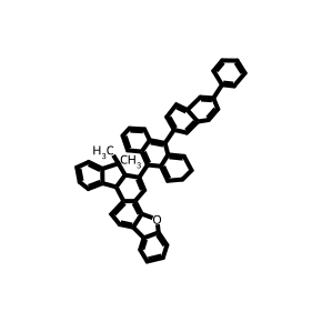 CC1(C)c2ccccc2C2c3ccc4c(oc5ccccc54)c3C=C(c3c4c(c(-c5ccc6cc(-c7ccccc7)ccc6c5)c5ccccc35)=CCCC=4)C21